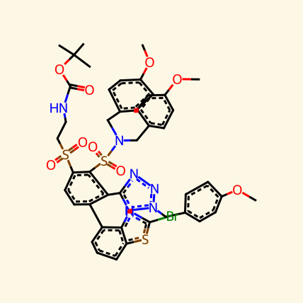 COc1ccc(CN(Cc2ccc(OC)cc2)S(=O)(=O)c2c(S(=O)(=O)CCNC(=O)OC(C)(C)C)ccc(-c3cccc4sc(Br)nc34)c2-c2nnn(Cc3ccc(OC)cc3)n2)cc1